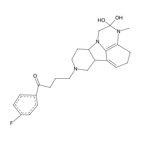 CN1C2=C3C(=CCC2)C2CN(CCCC(=O)c4ccc(F)cc4)CCC2N3CC1(O)O